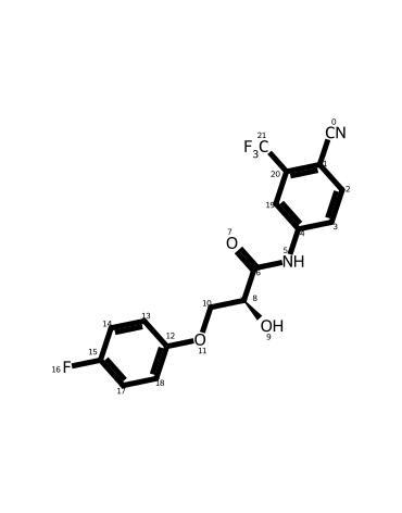 N#Cc1ccc(NC(=O)[C@@H](O)COc2ccc(F)cc2)cc1C(F)(F)F